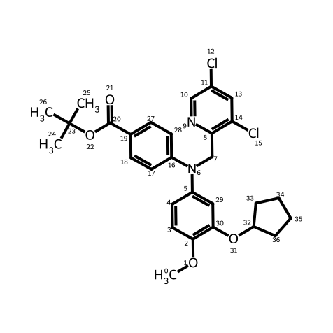 COc1ccc(N(Cc2ncc(Cl)cc2Cl)c2ccc(C(=O)OC(C)(C)C)cc2)cc1OC1CCCC1